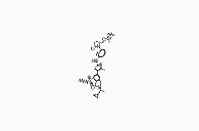 CNS(=O)(=O)c1cc(-c2sc(Nc3cccc(N4C(=O)CC[C@H]4CO[Si](C)(C)C(C)(C)C)n3)nc2C)cc2c1C(=O)N(C(C)C1CC1)C2